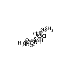 COC(=O)COc1c(Cl)cc(NC(=S)Nc2ccc(NC(C)=O)cc2)cc1Cl